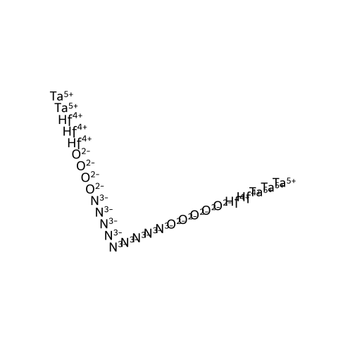 [Hf+4].[Hf+4].[Hf+4].[Hf+4].[Hf+4].[N-3].[N-3].[N-3].[N-3].[N-3].[N-3].[N-3].[N-3].[N-3].[O-2].[O-2].[O-2].[O-2].[O-2].[O-2].[O-2].[O-2].[O-2].[Ta+5].[Ta+5].[Ta+5].[Ta+5].[Ta+5]